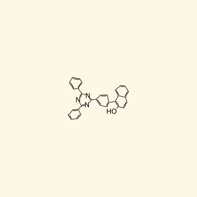 Oc1ccc2ccccc2c1-c1ccc(-c2nc(-c3ccccc3)nc(-c3ccccc3)n2)cc1